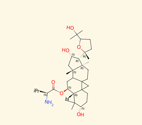 CC(C)[C@H](N)C(=O)O[C@H]1CC2C3(CC[C@]4(C)[C@@H]([C@@]5(C)CCC(C(C)(C)O)O5)[C@@H](O)C[C@@]24C)CC32CC[C@H](O)C(C)(C)[C@H]12